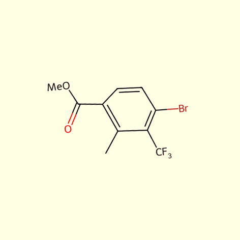 COC(=O)c1ccc(Br)c(C(F)(F)F)c1C